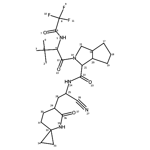 CC(C)(C)C(NC(=O)C(F)(F)F)C(=O)N1CC2CCCC2C1C(=O)NC(C#N)CC1CCC2(CC2)NC1=O